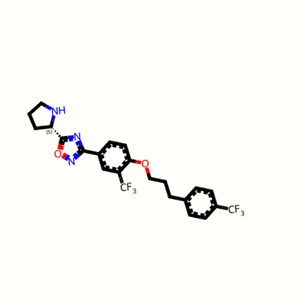 FC(F)(F)c1ccc(CCCOc2ccc(-c3noc([C@@H]4CCCN4)n3)cc2C(F)(F)F)cc1